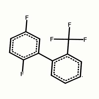 Fc1ccc(F)c(-c2cc[c]cc2C(F)(F)F)c1